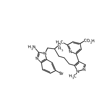 Cc1cc(C(=O)O)cc(-c2cnn(C)c2CCCC(C)Cn2c(N)nc3ccc(Br)cc32)n1